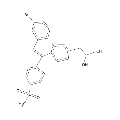 CC(O)Cc1ccc(/C(=C\c2cccc(Br)c2)c2ccc(S(C)(=O)=O)cc2)nc1